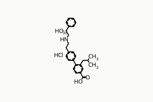 CC(C)Cc1cc(C(=O)O)ccc1-c1ccc(CCNC[C@H](O)c2ccccc2)cc1.Cl